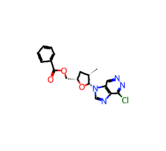 C[C@H]1C[C@@H](COC(=O)c2ccccc2)O[C@H]1n1cnc2c(Cl)nncc21